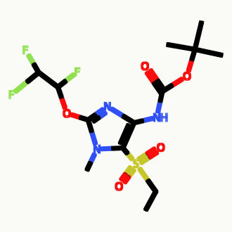 CCS(=O)(=O)c1c(NC(=O)OC(C)(C)C)nc(OC(F)C(F)F)n1C